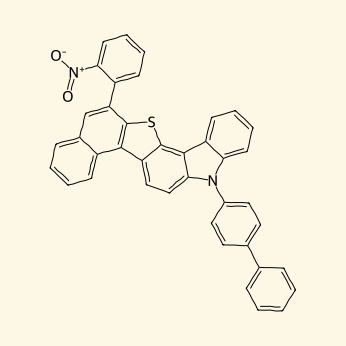 O=[N+]([O-])c1ccccc1-c1cc2ccccc2c2c1sc1c2ccc2c1c1ccccc1n2-c1ccc(-c2ccccc2)cc1